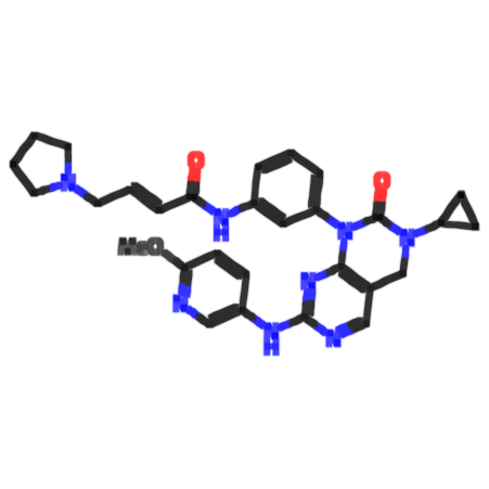 COc1ccc(Nc2ncc3c(n2)N(c2cccc(NC(=O)/C=C/CN4CCCC4)c2)C(=O)N(C2CC2)C3)cn1